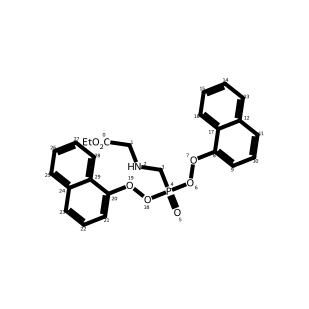 CCOC(=O)CNCP(=O)(OOc1cccc2ccccc12)OOc1cccc2ccccc12